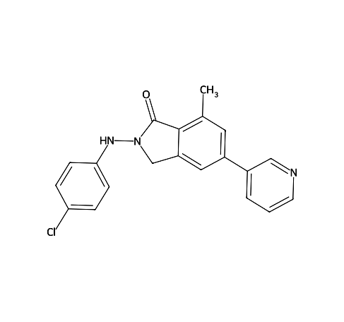 Cc1cc(-c2cccnc2)cc2c1C(=O)N(Nc1ccc(Cl)cc1)C2